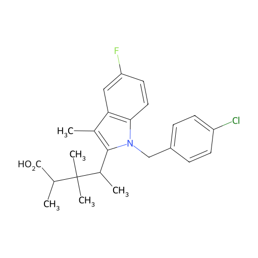 Cc1c(C(C)C(C)(C)C(C)C(=O)O)n(Cc2ccc(Cl)cc2)c2ccc(F)cc12